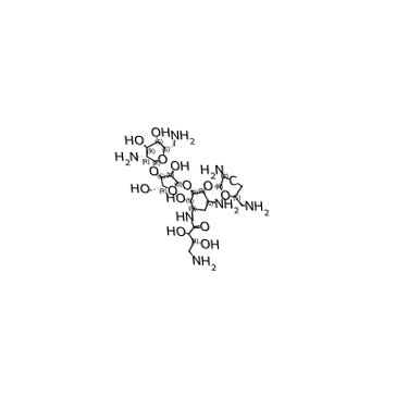 NC[C@@H]1CC[C@@H](N)[C@@H](O[C@H]2[C@H](O[C@@H]3O[C@H](CO)[C@@H](O[C@H]4O[C@@H](CN)[C@@H](O)[C@H](O)[C@H]4N)[C@H]3O)[C@@H](O)[C@H](NC(=O)C(O)[C@H](O)CN)C[C@@H]2N)O1